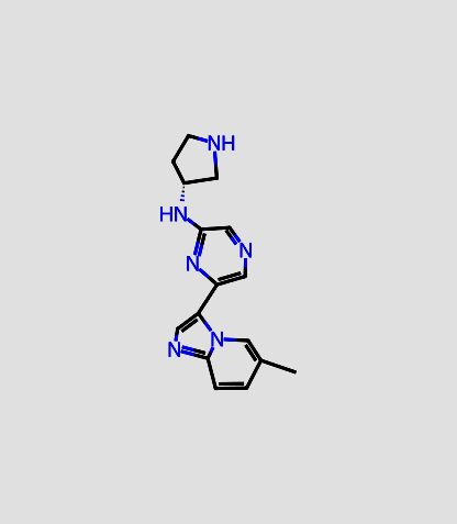 Cc1ccc2ncc(-c3cncc(N[C@@H]4CCNC4)n3)n2c1